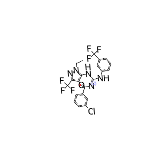 CCn1nc(C(F)(F)F)c(C)c1N/C(=N\C(=O)c1cccc(Cl)c1)Nc1cccc(C(F)(F)F)c1